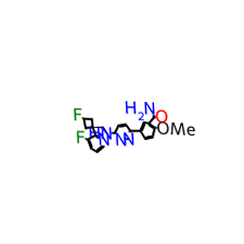 COc1ccc(-c2ccc(NC[C@]3(c4ncccc4F)C[C@H](F)C3)nn2)cc1C(N)=O